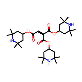 CC1(C)CC(OC(=O)C=C(C(=O)OC2CC(C)(C)NC(C)(C)C2)C(=O)OC2CC(C)(C)NC(C)(C)C2)CC(C)(C)N1